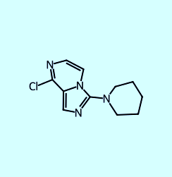 Clc1nccn2c(N3CCCCC3)ncc12